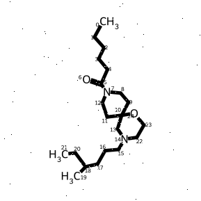 CCCCCC(=O)N1CCC2(CC1)CN(CCCC(C)CC)CCO2